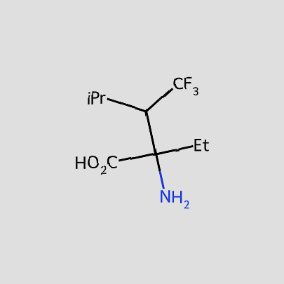 CCC(N)(C(=O)O)C(C(C)C)C(F)(F)F